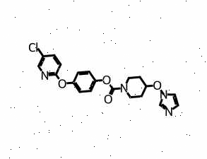 O=C(Oc1ccc(Oc2ccc(Cl)cn2)cc1)N1CCC(On2ccnc2)CC1